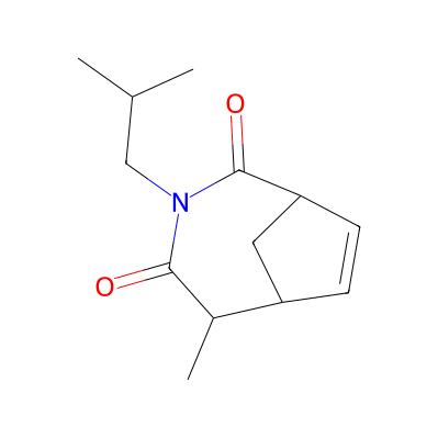 CC(C)CN1C(=O)C2C=CC(C2)C(C)C1=O